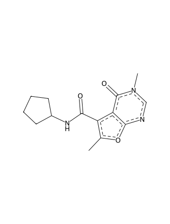 Cc1oc2ncn(C)c(=O)c2c1C(=O)NC1CCCC1